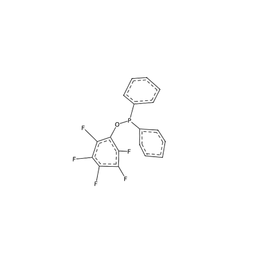 Fc1c(F)c(F)c(OP(c2ccccc2)c2ccccc2)c(F)c1F